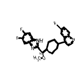 CO[C@@H](c1nc2cc(F)c(F)cc2[nH]1)C1CCC(c2ccnc3ccc(F)cc23)CC1